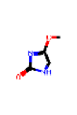 COC1=NC(=O)N[C]1